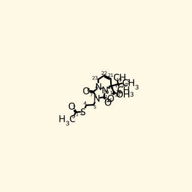 CC(=O)SCCn1c(=O)n2n(c1=O)C(C(=O)O)(C(C)(C)C)C=CC2